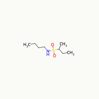 CCCCNS(=O)(=O)C(C)CC